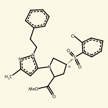 COC(=O)C1C[C@@H](S(=O)(=O)c2ccccc2Cl)CN1c1cc(C)nn1CCc1ccccc1